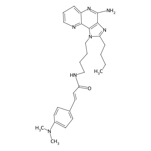 CCCCc1nc2c(N)nc3cccnc3c2n1CCCCNC(=O)/C=C/c1ccc(N(C)C)cc1